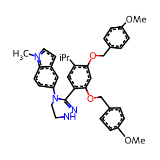 COc1ccc(COc2cc(OCc3ccc(OC)cc3)c(C(C)C)cc2C2=NNCCN2c2ccc3c(ccn3C)c2)cc1